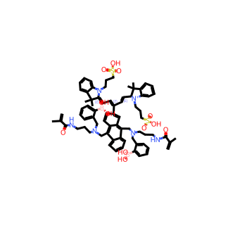 C=C(C)C(=O)NCCCN(Cc1ccccc1B(O)O)Cc1c2ccccc2c(CN(CCCNC(=O)C(=C)C)Cc2ccccc2B(O)O)c2cc(C(=C\C=C3/N(CCCS(=O)(=O)O)c4ccccc4C3(C)C)/C=C/C3=[N+](CCCS(=O)(=O)O)c4ccccc4C3(C)C)ccc12